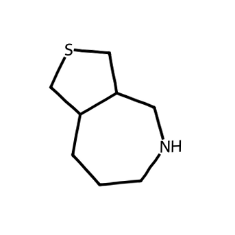 C1CNCC2CSCC2C1